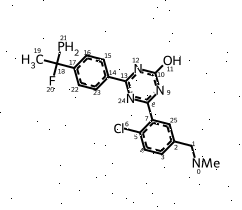 CNCc1ccc(Cl)c(-c2nc(O)nc(-c3ccc(C(C)(F)P)cc3)n2)c1